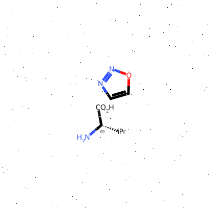 CC(C)[C@H](N)C(=O)O.c1conn1